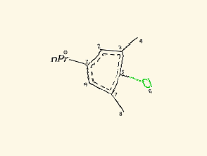 [CH2]CCc1cc(C)c(Cl)c(C)c1